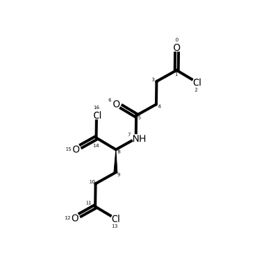 O=C(Cl)CCC(=O)N[C@@H](CCC(=O)Cl)C(=O)Cl